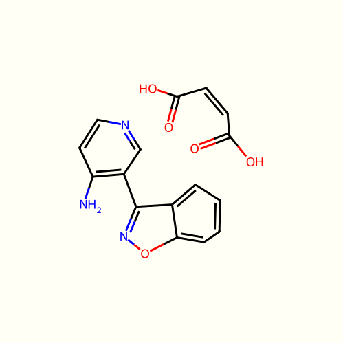 Nc1ccncc1-c1noc2ccccc12.O=C(O)/C=C\C(=O)O